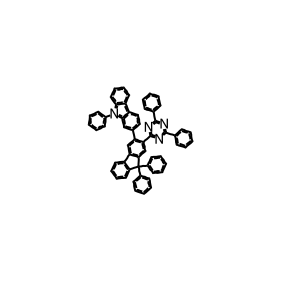 c1ccc(-c2nc(-c3ccccc3)nc(-c3cc4c(cc3-c3ccc5c6ccccc6n(-c6ccccc6)c5c3)-c3ccccc3C4(c3ccccc3)c3ccccc3)n2)cc1